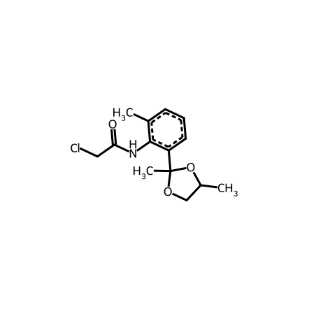 Cc1cccc(C2(C)OCC(C)O2)c1NC(=O)CCl